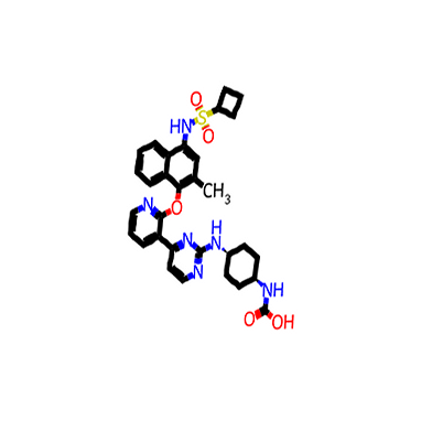 Cc1cc(NS(=O)(=O)C2CCC2)c2ccccc2c1Oc1ncccc1-c1ccnc(N[C@H]2CC[C@H](NC(=O)O)CC2)n1